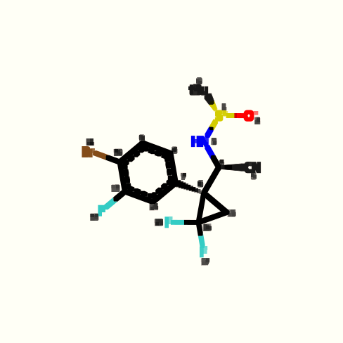 CC(C)(C)[S@@+]([O-])N[C@@H](C#N)[C@@]1(c2ccc(Br)c(F)c2)CC1(F)F